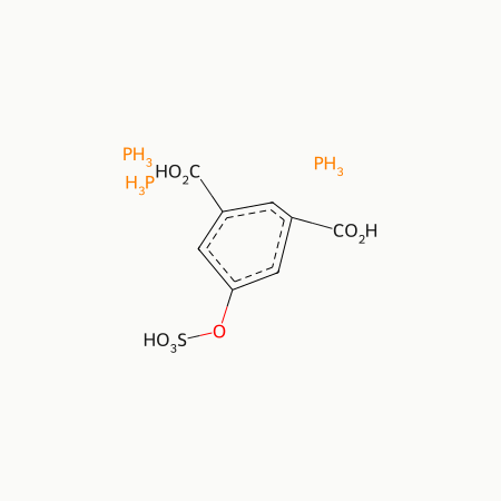 O=C(O)c1cc(OS(=O)(=O)O)cc(C(=O)O)c1.P.P.P